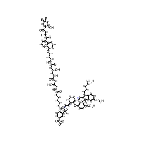 CC1(C)C(/C=C/C2=C(Oc3ccc(S(=O)(=O)O)cc3)C(=C/C=C3/N(CCCCCC(=O)NCC(O)CC(=O)NCC(O)CC(=O)NCCCOc4cccc5c(C(=O)NCC(=O)N6CC(F)(F)C[C@H]6C#N)ccnc45)c4ccc(S(=O)(=O)[O-])cc4C3(C)C)/CCC2)=[N+](CCCCS(=O)(=O)O)c2ccc(S(=O)(=O)O)cc21